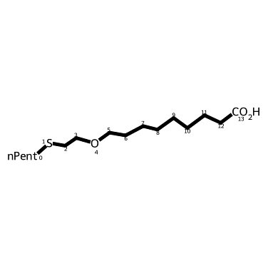 CCCCCSCCOCCCCCCCCC(=O)O